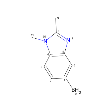 Bc1ccc2c(c1)nc(C)n2C